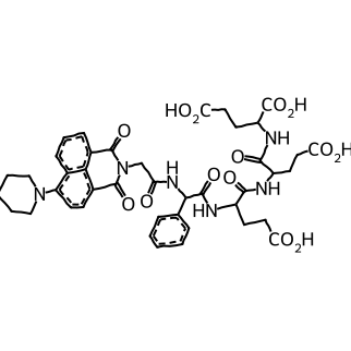 O=C(O)CCC(NC(=O)C(CCC(=O)O)NC(=O)C(CCC(=O)O)NC(=O)C(NC(=O)CN1C(=O)c2cccc3c(N4CCCCC4)ccc(c23)C1=O)c1ccccc1)C(=O)O